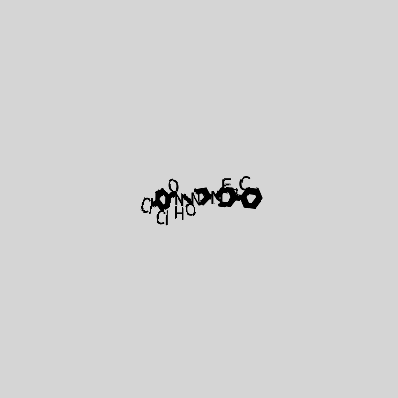 O=C(NCC(=O)N1CCC(N2CCC(c3ccccc3C(F)(F)F)CC2)C1)c1ccc(Cl)c(Cl)c1